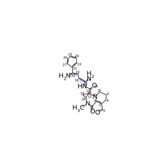 CN(C(=O)C1=C(C=O)CCCN1CC(=O)N/C(N)=C/C=C(\N)c1ccccc1)C1CC1